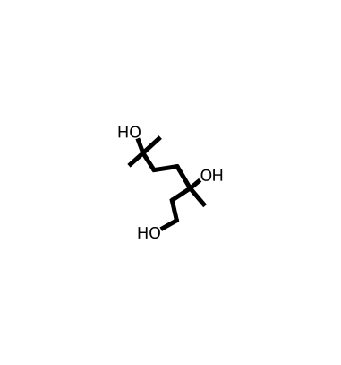 CC(C)(O)CCC(C)(O)CCO